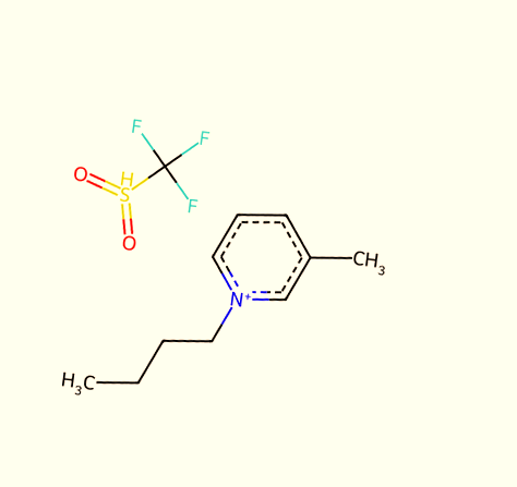 CCCC[n+]1cccc(C)c1.O=[SH](=O)C(F)(F)F